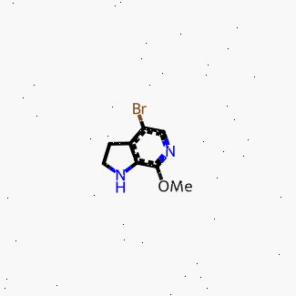 COc1ncc(Br)c2c1NCC2